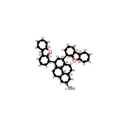 CC(C)(C)c1cc2ccc3c(-c4cccc5c4oc4ccccc45)cc(-c4cccc5c4oc4ccccc45)c4ccc(c1)c2c34